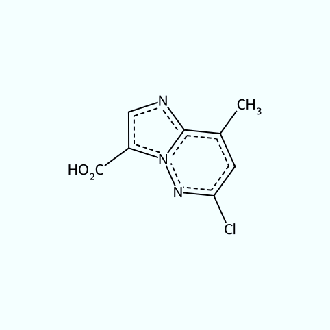 Cc1cc(Cl)nn2c(C(=O)O)cnc12